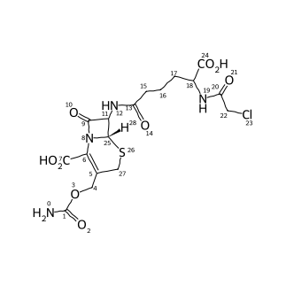 NC(=O)OCC1=C(C(=O)O)N2C(=O)C(NC(=O)CCCC(NC(=O)CCl)C(=O)O)[C@@H]2SC1